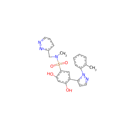 Cc1ccccc1-n1nccc1-c1cc(S(=O)(=O)N(C)Cc2cccnn2)c(O)cc1O